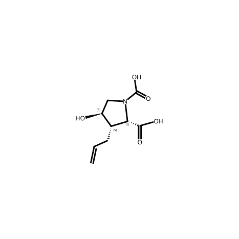 C=CC[C@H]1[C@@H](C(=O)O)N(C(=O)O)C[C@@H]1O